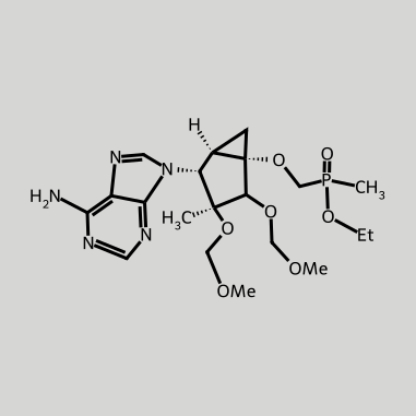 CCOP(C)(=O)CO[C@@]12C[C@@H]1[C@@H](n1cnc3c(N)ncnc31)[C@](C)(OCOC)C2OCOC